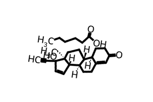 C#C[C@]1(O)C=C[C@H]2[C@@H]3CCC4=CC(=O)CC[C@@H]4[C@H]3CC[C@@]21CC.CCCCCC(=O)O